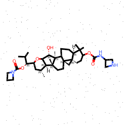 CC(C)[C@@H](OC(=O)N1CCC1)C1C[C@@H](C)[C@H]2C(O1)[C@H](O)[C@@]1(C)C3CC[C@H]4C(C)(C)C(OC(=O)NC5CNC5)CC[C@@]45C[C@@]35CC[C@]21C